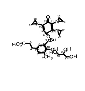 Cc1cc(CCC(=O)O)cc(C(C)(C)C)c1O.O=C1C=C(N2CC2)C(=O)C(N2CC2)=C1N1CC1.OCC(O)CO